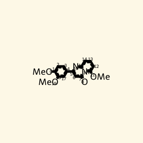 COc1ccc(-c2cc(=O)n3c(OC)cccc3n2)cc1OC